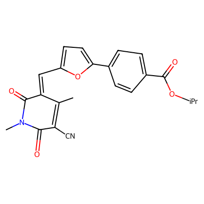 CC1=C(C#N)C(=O)N(C)C(=O)/C1=C/c1ccc(-c2ccc(C(=O)OC(C)C)cc2)o1